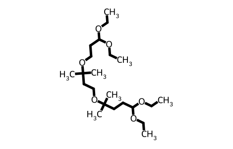 CCOC(CCOC(C)(C)CCOC(C)(C)CCC(OCC)OCC)OCC